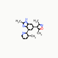 Cc1nc2c(-c3ncccc3C)cc(-c3c(C)noc3C)cc2[nH]1